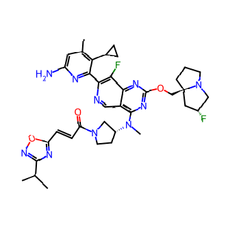 Cc1cc(N)nc(-c2ncc3c(N(C)[C@@H]4CCN(C(=O)/C=C/c5nc(C(C)C)no5)C4)nc(OC[C@@]45CCCN4C[C@H](F)C5)nc3c2F)c1C1CC1